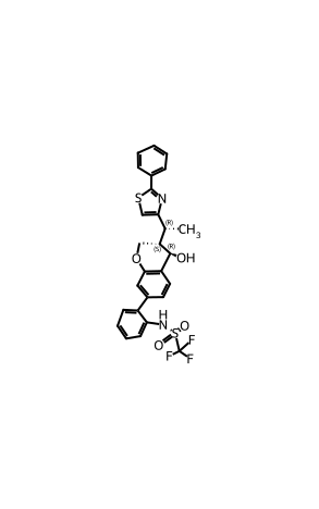 C[C@@H](c1csc(-c2ccccc2)n1)[C@H]1COc2cc(-c3ccccc3NS(=O)(=O)C(F)(F)F)ccc2[C@@H]1O